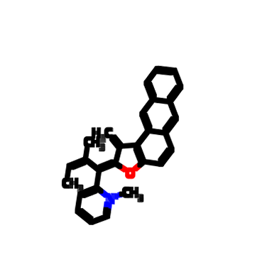 C=c1/c(=C(\C(C)=C/C)c2cccc[n+]2C)oc2ccc3cc4ccccc4cc3c12